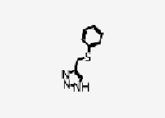 c1ccc(SCc2c[nH]nn2)cc1